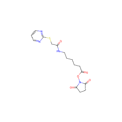 O=C(CSc1ncccn1)NCCCCCC(=O)ON1C(=O)CCC1=O